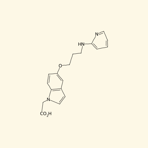 O=C(O)Cn1ccc2cc(OCCCNc3ccccn3)ccc21